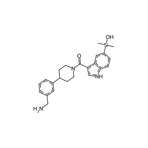 C[Si](C)(O)c1ccc2[nH]cc(C(=O)N3CCC(c4cccc(CN)c4)CC3)c2c1